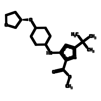 COC(=O)c1sc(C(C)(C)C)cc1NC1CCC(O[C@H]2CCOC2)CC1